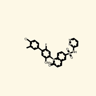 COc1cc(-c2ccc(Cl)c(C)c2)c(F)cc1-n1c(=O)ccc2cc(S(=O)(=O)Nc3cccnn3)ccc21